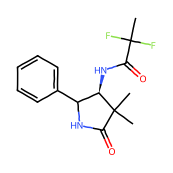 CC(F)(F)C(=O)N[C@@H]1C(c2ccccc2)NC(=O)C1(C)C